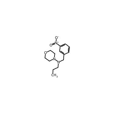 CCCN(Cc1cccc([N+](=O)[O-])c1)N1CCOCC1